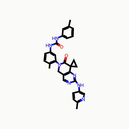 Cc1cccc(NC(=O)Nc2ccc(C)c(N3Cc4cnc(Nc5ccc(C)nc5)nc4C4(CC4)C3=O)c2)c1